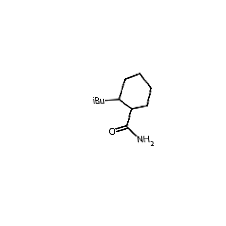 CCC(C)C1CCCCC1C(N)=O